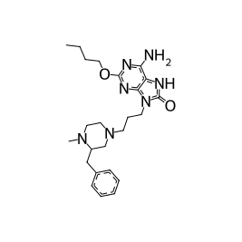 CCCCOc1nc(N)c2[nH]c(=O)n(CCCN3CCN(C)C(Cc4ccccc4)C3)c2n1